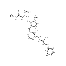 CCCCCC(CCC1C2Cc3cccc(OCC(=O)OCc4ccccc4)c3CC2C[C@H]1O)OC(=O)OC(C)C